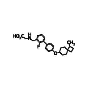 CC1CCC12CCC(Oc1ccc(-c3cccc(CNCC(=O)O)c3F)cc1)CC2